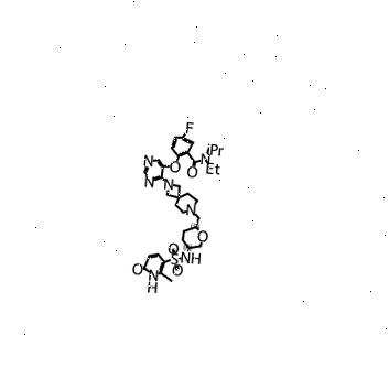 CCN(C(=O)c1cc(F)ccc1Oc1cncnc1N1CC2(CCN(C[C@@H]3CC[C@@H](NS(=O)(=O)c4ccc(=O)[nH]c4C)CO3)CC2)C1)C(C)C